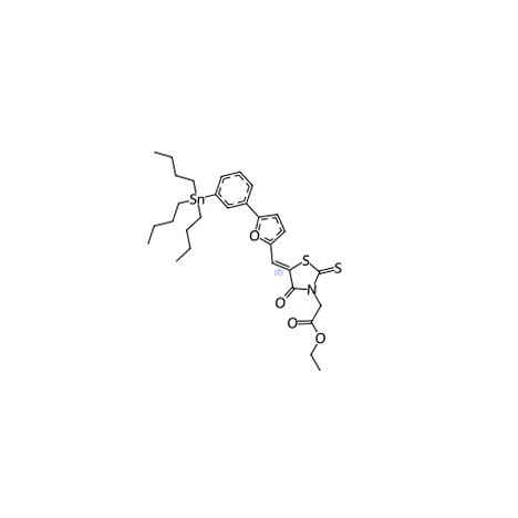 CCC[CH2][Sn]([CH2]CCC)([CH2]CCC)[c]1cccc(-c2ccc(/C=C3\SC(=S)N(CC(=O)OCC)C3=O)o2)c1